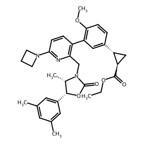 CCOC(=O)[C@@H]1C[C@H]1c1ccc(OC)c(-c2ccc(N3CCC3)nc2CN2C(=O)O[C@H](c3cc(C)cc(C)c3)[C@@H]2C)c1